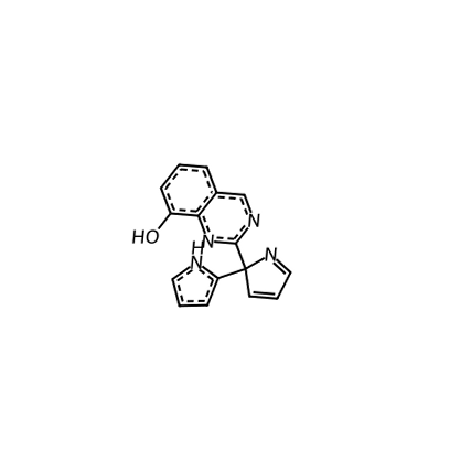 Oc1cccc2cnc(C3(c4ccc[nH]4)C=CC=N3)nc12